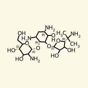 CC(C)(N)[C@H]1O[C@@H](OC2C(O)[C@H](N)CC(N)[C@H]2O[C@H]2OC(CO)[C@@H](O)C(O)C2N)C(O)C1O